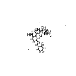 CN/C(C(=O)NC(C)(CN)CO)=C1/C=C(OCc2ccccc2F)C=CC1=N